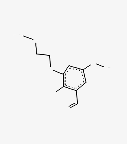 COCCOc1cc(OC)cc(C=O)c1F